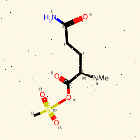 CN[C@H](CCC(N)=O)C(=O)OS(C)(=O)=O